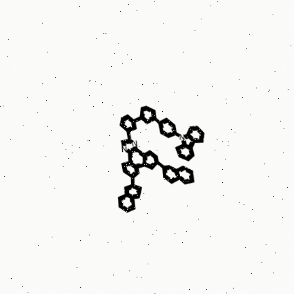 c1cc(-c2ccc(-n3c4ccccc4c4ccccc43)cc2)cc(-c2cccc(-c3cnc4c5ccc(-c6ccc7ccccc7c6)cc5c5cc(-c6ccc7ccccc7c6)ccc5c4n3)c2)c1